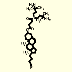 CC(C)CCCCC1CCC2C3CC=C4CC(OC(=O)CCC(=O)N(CCC(C)(C)N)CCC(C)(C)N)CCC4(C)C3CCC12C